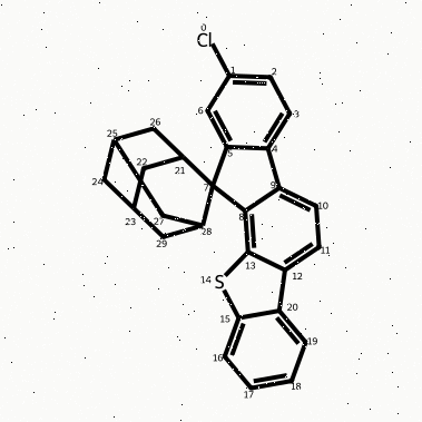 Clc1ccc2c(c1)C1(c3c-2ccc2c3sc3ccccc32)C2CC3CC(C2)CC1C3